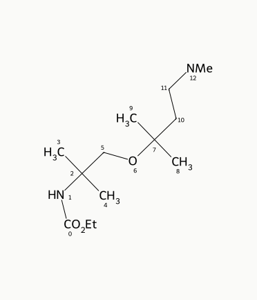 CCOC(=O)NC(C)(C)COC(C)(C)CCNC